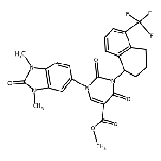 COC(=O)c1cn(-c2ccc3c(c2)n(C)c(=O)n3C)c(=O)n(C2CCCc3c2cccc3C(F)(F)F)c1=O